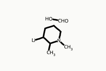 O=CO.[Li][CH]1CCCN(C)C1C